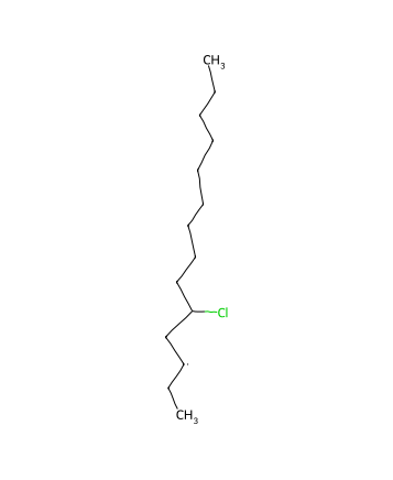 CC[CH]CC(Cl)CCCCCCCCC